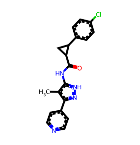 Cc1c(-c2ccncc2)n[nH]c1NC(=O)C1CC1c1ccc(Cl)cc1